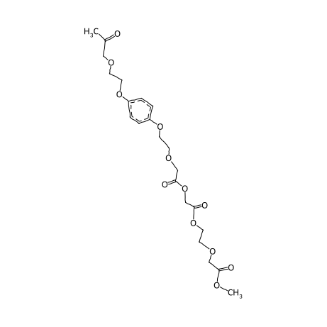 COC(=O)COCCOC(=O)COC(=O)COCCOc1ccc(OCCOCC(C)=O)cc1